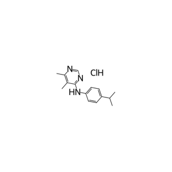 Cc1ncnc(Nc2ccc(C(C)C)cc2)c1C.Cl